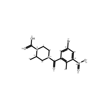 Cc1c(C(=O)N2CCN(C(=O)O)C(C)C2)cc(Br)cc1[N+](=O)[O-]